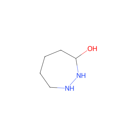 OC1CCCCNN1